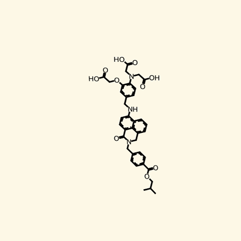 CC(C)COC(=O)c1ccc(CN2Cc3cccc4c(NCc5ccc(N(CC(=O)O)CC(=O)O)c(OCC(=O)O)c5)ccc(c34)C2=O)cc1